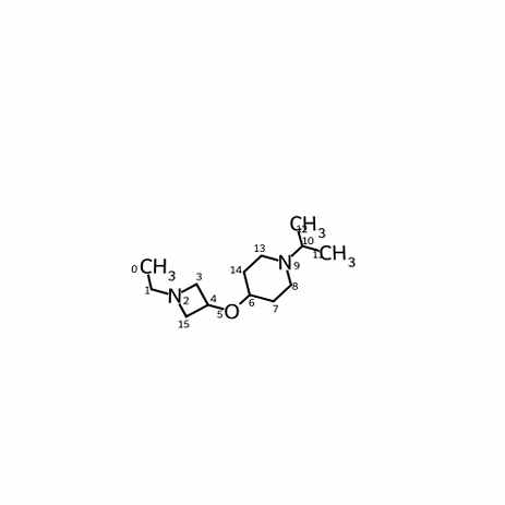 CCN1CC(OC2CCN(C(C)C)CC2)C1